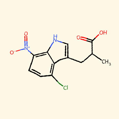 CC(Cc1c[nH]c2c([N+](=O)[O-])ccc(Cl)c12)C(=O)O